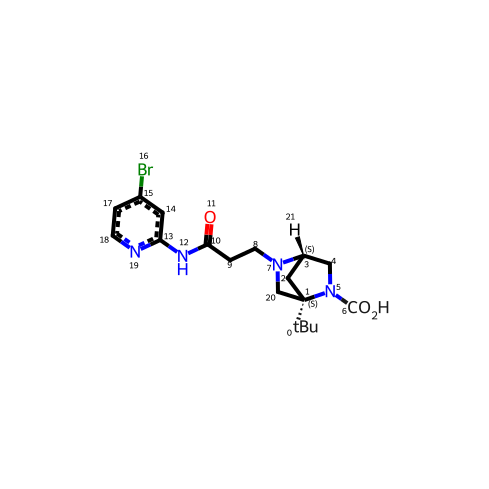 CC(C)(C)[C@]12C[C@@H](CN1C(=O)O)N(CCC(=O)Nc1cc(Br)ccn1)C2